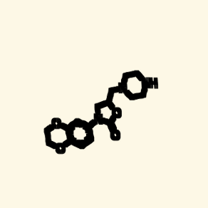 O=C1OC(CN2CCNCC2)CN1c1ccc2c(c1)OCCO2